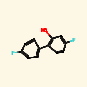 Oc1cc(F)ccc1-c1ccc(F)cc1